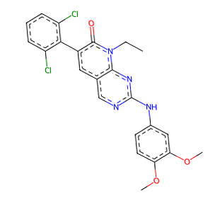 CCn1c(=O)c(-c2c(Cl)cccc2Cl)cc2cnc(Nc3ccc(OC)c(OC)c3)nc21